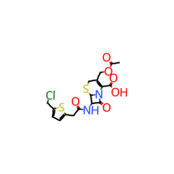 CC(=O)OCC1=C(C(=O)O)N2C(=O)C(NC(=O)Cc3ccc(CCl)s3)C2SC1